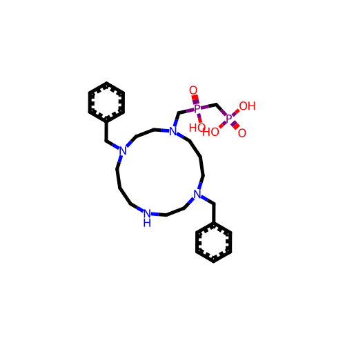 O=P(O)(O)CP(=O)(O)CN1CCCN(Cc2ccccc2)CCNCCCN(Cc2ccccc2)CC1